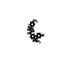 Cc1ccc(S(=O)(=O)NC(=O)Nc2ccc(S(N)(=O)=O)c(-c3ccc(Cl)cc3)c2)cc1